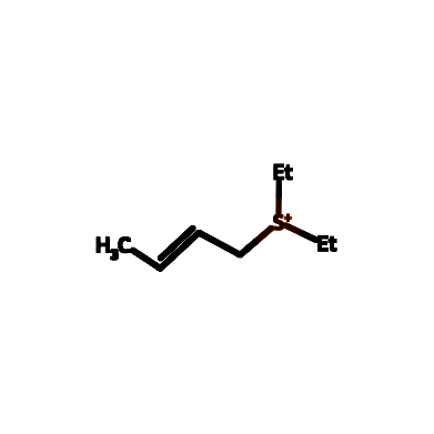 CC=CC[S+](CC)CC